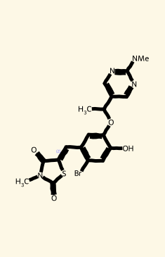 CNc1ncc(C(C)Oc2cc(/C=C3\SC(=O)N(C)C3=O)c(Br)cc2O)cn1